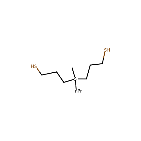 CCC[Si](C)(CCCS)CCCS